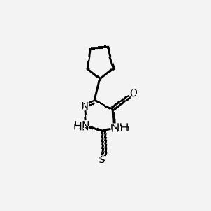 O=c1[nH]c(=S)[nH]nc1C1CCCC1